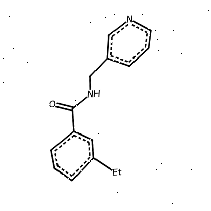 CCc1cccc(C(=O)NCc2cccnc2)c1